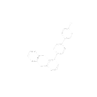 Cc1ccc(-c2ccc(-c3cccc4c3Sc3ccccc3C4)cc2)cc1